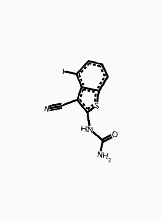 N#Cc1c(NC(N)=O)sc2cccc(I)c12